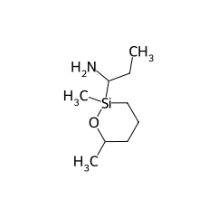 CCC(N)[Si]1(C)CCCC(C)O1